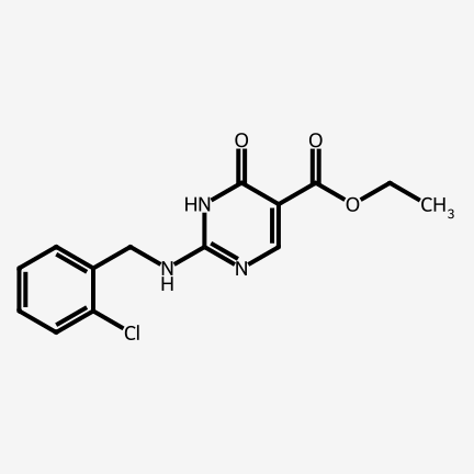 CCOC(=O)c1cnc(NCc2ccccc2Cl)[nH]c1=O